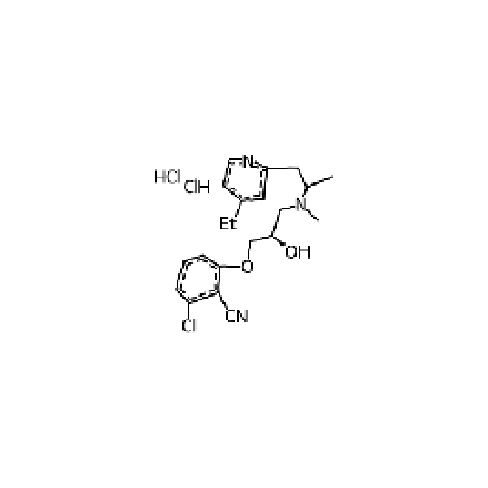 CCc1ccnc(CC(C)N(C)C[C@@H](O)COc2cccc(Cl)c2C#N)c1.Cl.Cl